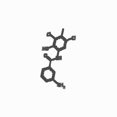 Cc1c(Cl)cc(NC(=O)c2cccc(N)c2)c(O)c1Cl